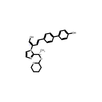 C[C@H](OC1CCCCO1)c1nccn1C(/C=C/c1ccc(-c2ccc(O)cc2)cc1)=C/O